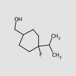 CC(C)C1(F)CCC(CO)CC1